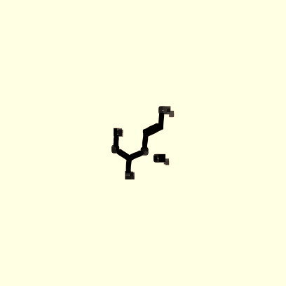 C.CC=COC(CC)OCC